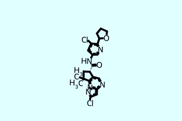 CC1(C)C[C@H](C(=O)Nc2cnc(C3CCCO3)c(Cl)c2)c2cnc3cc(Cl)nn3c21